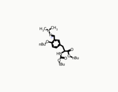 CCCCOC(=O)C(Cc1ccc(OCCCC)c(/C=N/N(C)C)c1)NC(=O)OC(C)(C)C